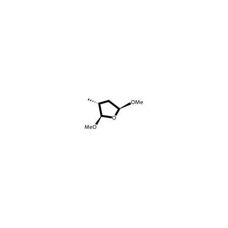 CO[C@@H]1C[C@@H](C)[C@H](OC)O1